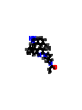 C=CC(=O)N1CC2(CCN(c3nc4c(c(-c5c(C)ccc6[nH]ncc56)c3C#N)[C@H]3[C@H](C4)C3(C)C)C2)C1